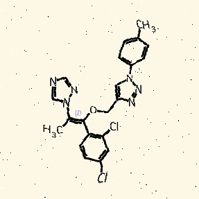 C/C(=C(/OCc1cn(-c2ccc(C)cc2)nn1)c1ccc(Cl)cc1Cl)n1cncn1